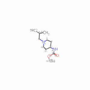 CC(C#N)CN1CCC(NC(=O)OC(C)(C)C)CC1